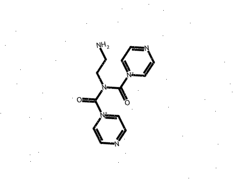 NCCN(C(=O)[n+]1ccncc1)C(=O)[n+]1ccncc1